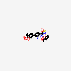 CC(OC(=O)Nc1c(-c2ccc(-c3ccc(C4(C(=O)O)CC4)cc3)cc2)c(=O)sn1C)c1ccccc1